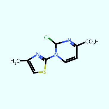 Cc1csc(N2C=CC(C(=O)O)=NC2Cl)n1